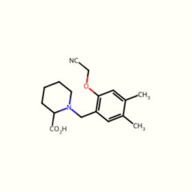 Cc1cc(CN2CCCCC2C(=O)O)c(OCC#N)cc1C